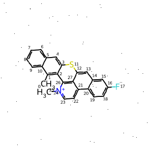 Cc1c2c(cc3ccccc13)Sc1cc3cc(F)ccc3c3cc[n+](C)c-2c13